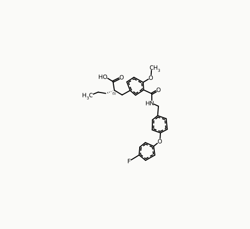 CCC[C@@H](Cc1ccc(OC)c(C(=O)NCc2ccc(Oc3ccc(F)cc3)cc2)c1)C(=O)O